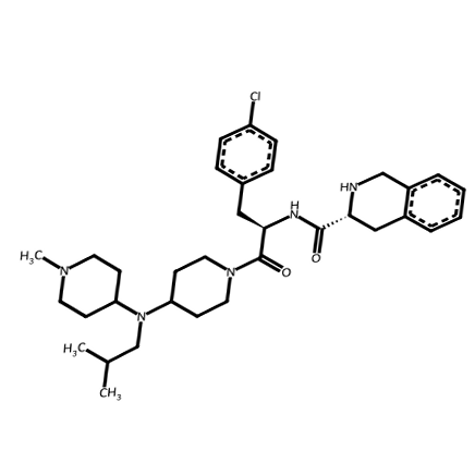 CC(C)CN(C1CCN(C)CC1)C1CCN(C(=O)[C@@H](Cc2ccc(Cl)cc2)NC(=O)[C@H]2Cc3ccccc3CN2)CC1